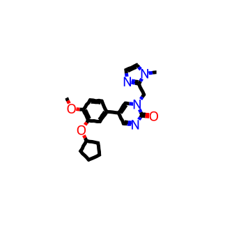 COc1ccc(-c2cnc(=O)n(Cc3nccn3C)c2)cc1OC1CCCC1